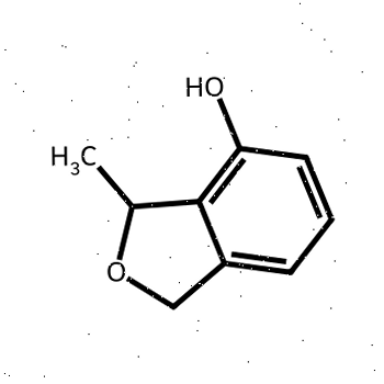 CC1OCc2cccc(O)c21